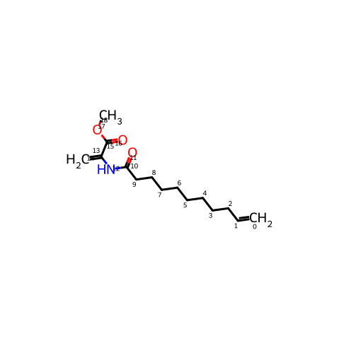 C=CCCCCCCCCC(=O)NC(=C)C(=O)OC